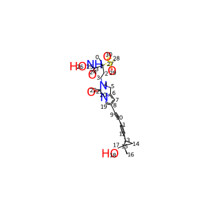 CC(CCN1Cc2cc(C#CC#C[C@H]3C[C@]3(C)CO)cn2C1=O)(C(=O)NO)S(C)(=O)=O